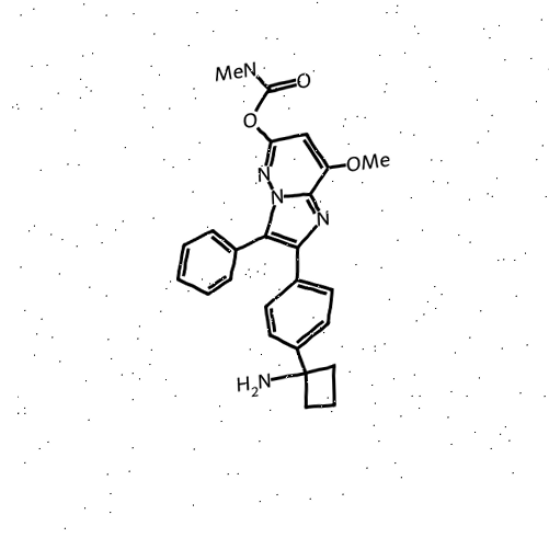 CNC(=O)Oc1cc(OC)c2nc(-c3ccc(C4(N)CCC4)cc3)c(-c3ccccc3)n2n1